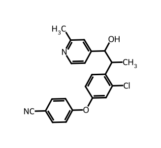 Cc1cc(C(O)C(C)c2ccc(Oc3ccc(C#N)cc3)cc2Cl)ccn1